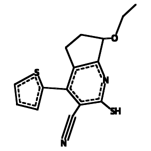 CCOC1CCc2c1nc(S)c(C#N)c2-c1cccs1